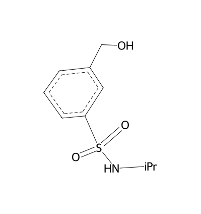 CC(C)NS(=O)(=O)c1cccc(CO)c1